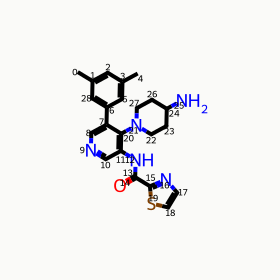 Cc1cc(C)cc(-c2cncc(NC(=O)c3nccs3)c2N2CCC(N)CC2)c1